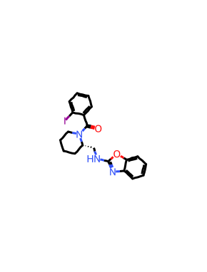 O=C(c1ccccc1I)N1CCCC[C@H]1CNc1nc2ccccc2o1